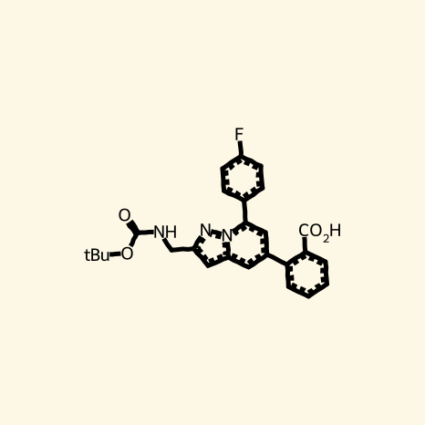 CC(C)(C)OC(=O)NCc1cc2cc(-c3ccccc3C(=O)O)cc(-c3ccc(F)cc3)n2n1